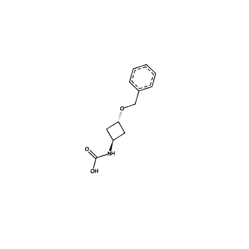 O=C(O)N[C@H]1C[C@H](OCc2ccccc2)C1